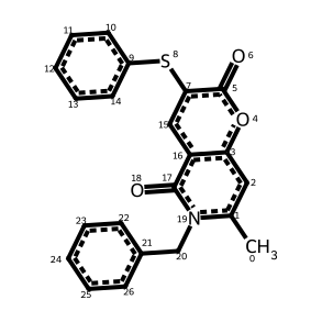 Cc1cc2oc(=O)c(Sc3ccccc3)cc2c(=O)n1Cc1ccccc1